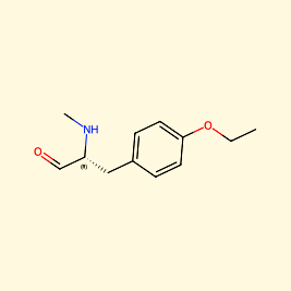 CCOc1ccc(C[C@H](C=O)NC)cc1